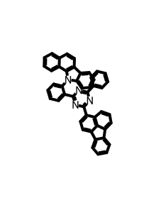 c1ccc(-c2nc(-c3ccccc3-n3c4ccccc4c4ccc5ccccc5c43)nc(-c3ccc4c5c(cccc35)-c3ccccc3-4)n2)cc1